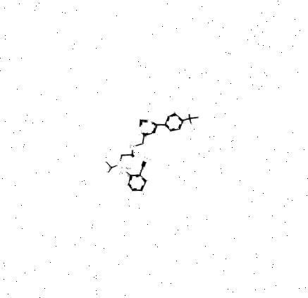 CC(C)N(CC(=O)NCc1cc(-c2ccc(C(F)(F)F)cc2)ncn1)S(=O)(=O)c1ccccc1C#N